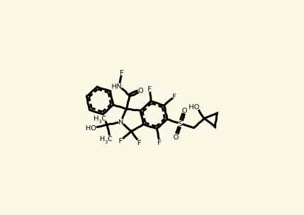 CC(C)(O)N1C(F)(F)c2c(F)c(S(=O)(=O)CC3(O)CC3)c(F)c(F)c2C1(C(=O)NF)c1ccccc1